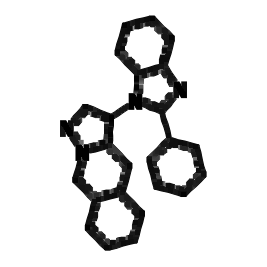 c1ccc(-c2nc3ccccc3n2-c2cnn3cc4ccccc4cc23)cc1